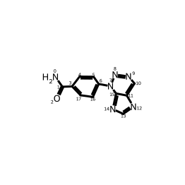 NC(=O)c1ccc(-n2nncc3ncnc2-3)cc1